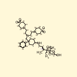 C/C(=C\CNC1CCC(CN(CCN2CCS(=O)(=O)CC2)CCN2CCS(=O)(=O)CC2)(c2ccccc2)CC1)C(C)(C)C(C)(C)OCO